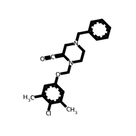 Cc1cc(OCN2CCN(Cc3ccccc3)CC2=C=O)cc(C)c1Cl